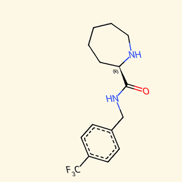 O=C(NCc1ccc(C(F)(F)F)cc1)[C@H]1CCCCCN1